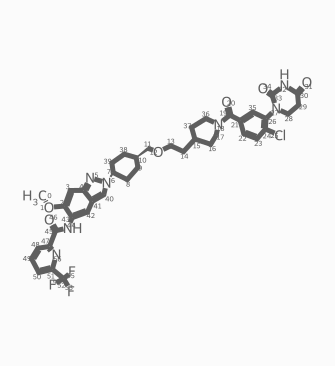 COc1cc2nn([C@H]3CC[C@H](COCCC4CCN(C(=O)c5ccc(Cl)c(N6CCC(=O)NC6=O)c5)CC4)CC3)cc2cc1NC(=O)c1cccc(C(F)(F)F)n1